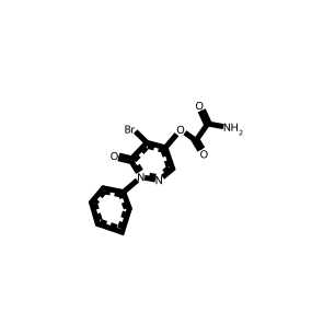 NC(=O)C(=O)Oc1cnn(-c2ccccc2)c(=O)c1Br